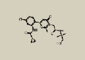 Cc1nc(-c2ccc(Cl)cc2NC(=O)C2CC2)cc(=O)n1CC(=O)NC(C)(C)CO